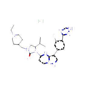 CCN1CCC(CN2CC(C(C)C)N(c3ccn4ncc(-c5ccc(-c6nc[nH]n6)c(F)c5)c4n3)C2=O)CC1.Cl